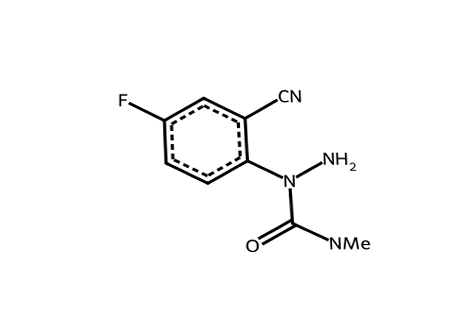 CNC(=O)N(N)c1ccc(F)cc1C#N